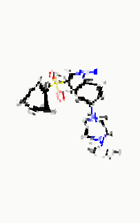 O=C(O)N1CCN(c2ccc3[nH]cc(S(=O)(=O)c4ccccc4)c3c2)CC1